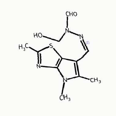 Cc1nc2c(s1)c(/C=N\N(C=O)CO)c(C)n2C